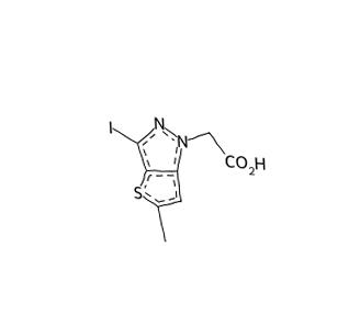 Cc1cc2c(s1)c(I)nn2CC(=O)O